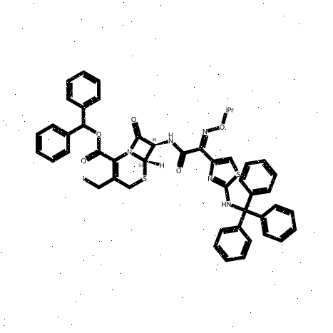 CC(C)ON=C(C(=O)N[C@@H]1C(=O)N2C(C(=O)OC(c3ccccc3)c3ccccc3)=C(CI)CS[C@@H]12)c1csc(NC(c2ccccc2)(c2ccccc2)c2ccccc2)n1